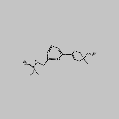 CCOC(=O)C1(C)CC=C(c2nccc(CO[Si](C)(C)C(C)(C)C)n2)CC1